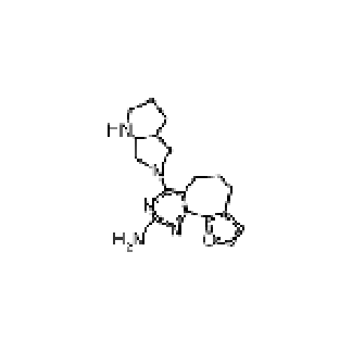 Nc1nc2c(c(N3CC4CCCNC4C3)n1)CCCc1ccoc1-2